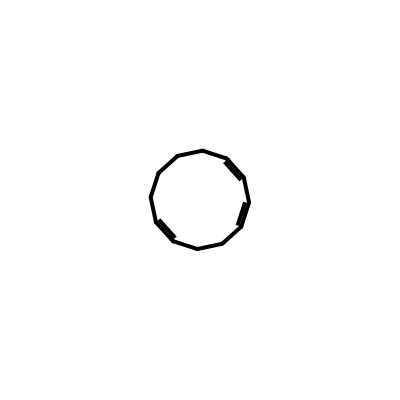 [C]1=CC=CCCC=CCCCC1